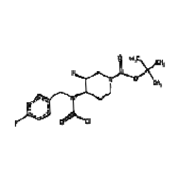 CC(C)(C)OC(=O)N1CC[C@@H](N(Cc2ccc(F)cc2)C(=O)Cl)[C@@H](F)C1